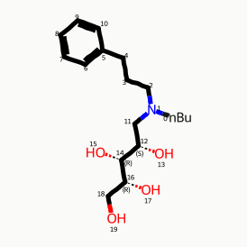 CCCCN(CCCc1ccccc1)C[C@H](O)[C@@H](O)[C@H](O)CO